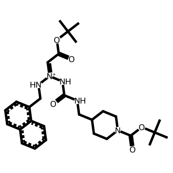 CC(C)(C)OC(=O)C=[N+](NCc1cccc2ccccc12)NC(=O)NCC1CCN(C(=O)OC(C)(C)C)CC1